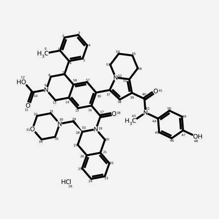 Cc1ccccc1C1CN(C(=O)O)Cc2cc(C(=O)N3Cc4ccccc4C[C@H]3CN3CCOCC3)c(-c3cc(C(=O)N(C)c4ccc(O)cc4)c4n3CCCC4)cc21.Cl